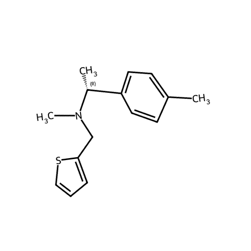 Cc1ccc([C@@H](C)N(C)Cc2cccs2)cc1